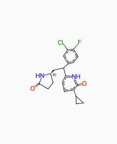 O=C1CC[C@H](CC(c2ccc(F)c(Cl)c2)c2ccc(C3CC3)c(=O)[nH]2)N1